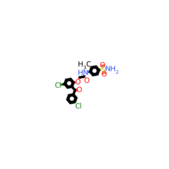 Cc1cc(S(N)(=O)=O)ccc1NC(=O)COc1ccc(Cl)cc1C(=O)c1cccc(Cl)c1